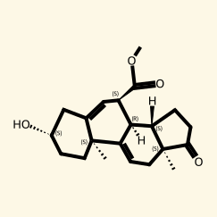 COC(=O)[C@@H]1C=C2C[C@@H](O)CC[C@]2(C)C2=CC[C@]3(C)C(=O)CC[C@H]3[C@@H]21